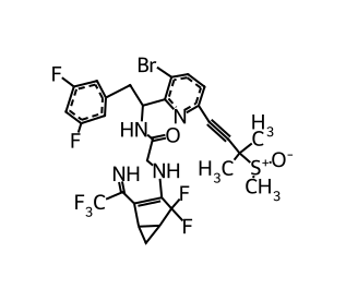 C[S+]([O-])C(C)(C)C#Cc1ccc(Br)c(C(Cc2cc(F)cc(F)c2)NC(=O)CNC2=C(C(=N)C(F)(F)F)C3CC3C2(F)F)n1